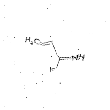 C=CC(=N)F